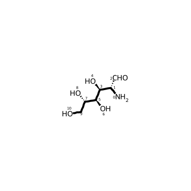 N[C@@H](C=O)[C@H](O)[C@@H](O)[C@@H](O)CO